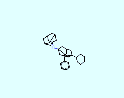 c1ccc(C23CC4CC(NC56CC7CC(CC(C7)C5)C6)(C2)CC(C2CCCCC2)(C4)C3)cc1